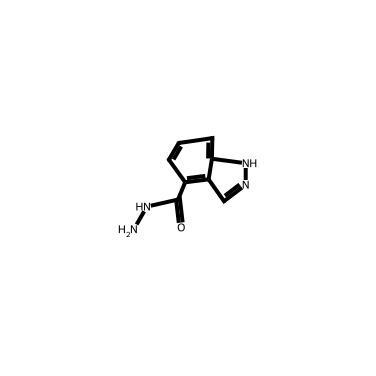 NNC(=O)c1cccc2[nH]ncc12